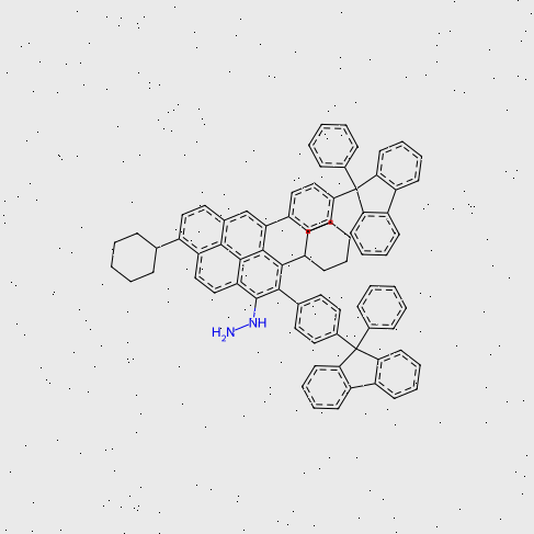 NNc1c(-c2ccc(C3(c4ccccc4)c4ccccc4-c4ccccc43)cc2)c(C2CCCCC2)c2c(-c3ccc(C4(c5ccccc5)c5ccccc5-c5ccccc54)cc3)cc3ccc(C4CCCCC4)c4ccc1c2c34